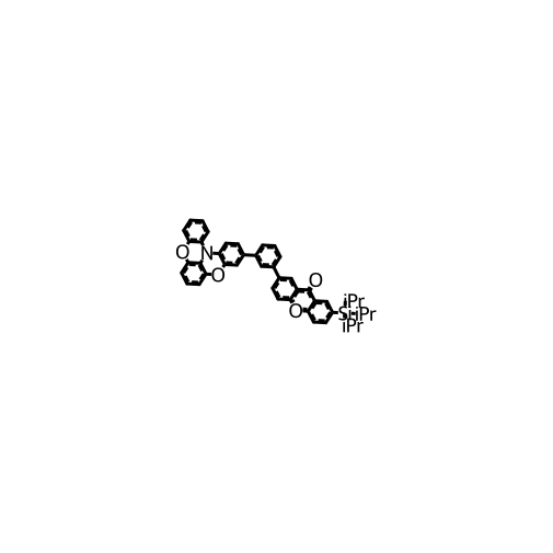 CC(C)[Si](c1ccc2oc3ccc(-c4cccc(-c5ccc6c(c5)Oc5cccc7c5N6c5ccccc5O7)c4)cc3c(=O)c2c1)(C(C)C)C(C)C